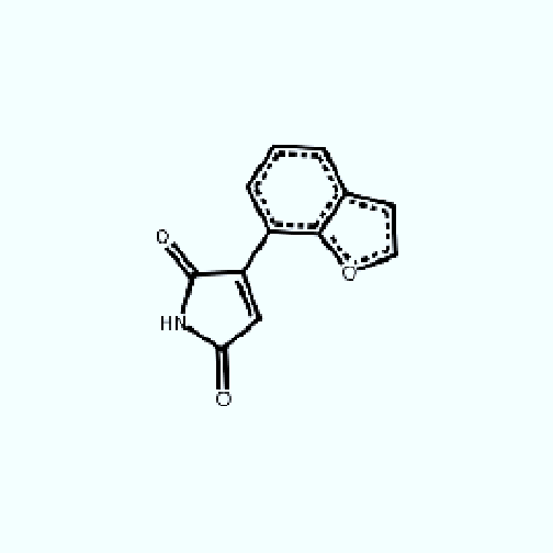 O=C1C=C(c2cccc3ccoc23)C(=O)N1